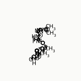 C[C@@H]1CN(c2ccn3ncc(C(=O)Nc4cn([C@H]5CC[C@H](CN(C)C6CCN(c7cccc8c7n(C)c(=O)n8C7CCC(=O)NC7=O)CC6(F)F)CC5)nc4C(F)F)c3n2)C[C@H](C)O1